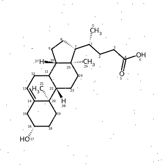 C[C@H](CCC(=O)O)[C@H]1CC[C@H]2C3CC=C4C[C@@H](O)CC[C@]4(C)[C@H]3CC[C@]12C